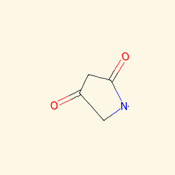 O=C1C[N]C(=O)C1